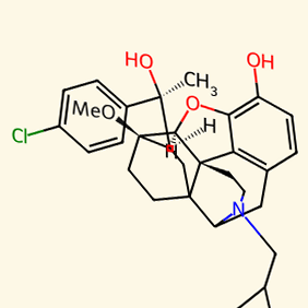 CO[C@]12CCC3(C[C@@H]1[C@](C)(O)c1ccc(Cl)cc1)C1Cc4ccc(O)c5c4[C@@]3(CCN1CC1CC1)[C@@H]2O5